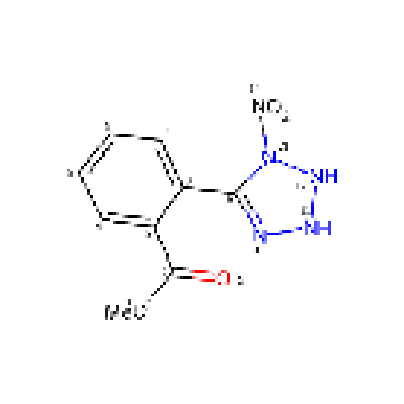 COC(=O)c1ccccc1C1=NNNN1[N+](=O)[O-]